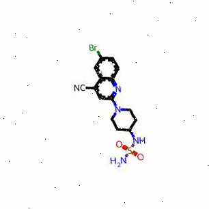 N#Cc1cc(N2CCC(NS(N)(=O)=O)CC2)nc2ccc(Br)cc12